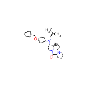 CCC(C)CCN1CCCCC1C(=O)N1CCC(N(CC=C(C)C)c2ccc(OCc3ccccc3)cc2)CC1